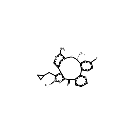 C[C@H]1Oc2cc(cnc2N)-c2c(nn(C)c2CC2CC2)C(=O)c2cccnc2-c2ccc(F)cc21